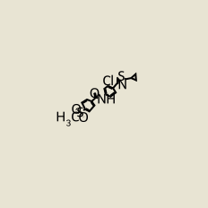 CS(=O)(=O)c1ccc(C(=O)Nc2ccc(-c3csc(C4CC4)n3)c(Cl)c2)cc1